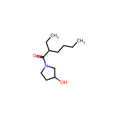 CCCCC(CC)C(=O)N1CCC(O)C1